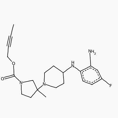 CC#CCOC(=O)N1CCC(C)(N2CCC(Nc3ccc(F)cc3N)CC2)C1